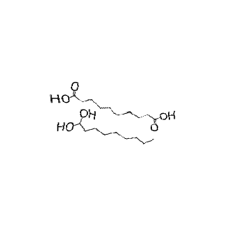 CCCCCCCCC(O)O.O=C(O)CCCCCCCCC(=O)O